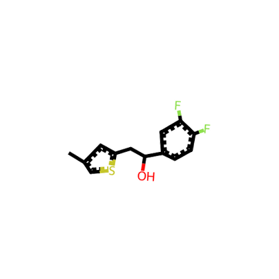 Cc1csc(CC(O)c2ccc(F)c(F)c2)c1